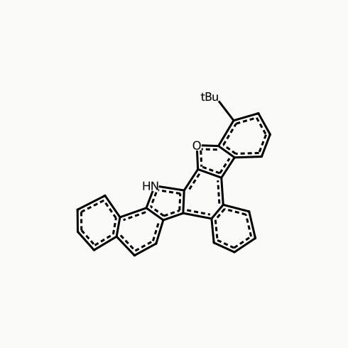 CC(C)(C)c1cccc2c1oc1c3[nH]c4c5ccccc5ccc4c3c3ccccc3c21